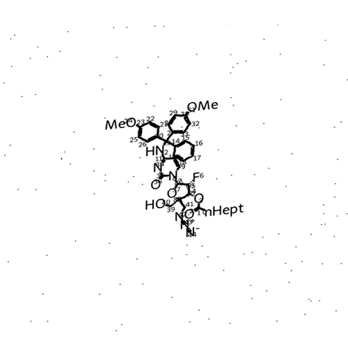 CCCCCCCC(=O)O[C@H]1[C@@H](F)[C@H](n2ccc(NC(c3ccccc3)(c3ccc(OC)cc3)c3ccc(OC)cc3)nc2=O)O[C@@]1(CO)CN=[N+]=[N-]